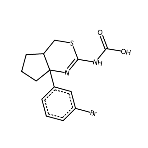 O=C(O)NC1=NC2(c3cccc(Br)c3)CCCC2CS1